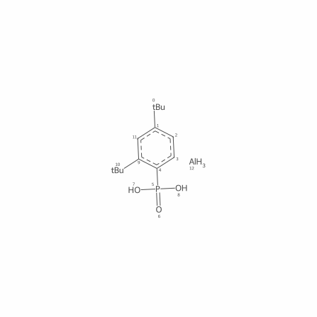 CC(C)(C)c1ccc(P(=O)(O)O)c(C(C)(C)C)c1.[AlH3]